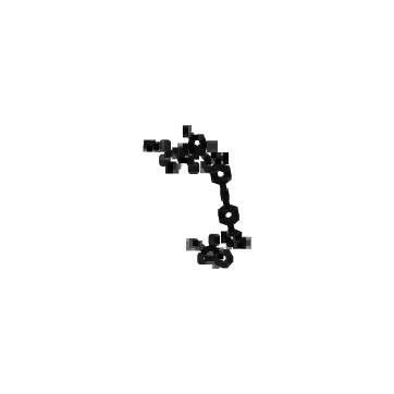 COC(=O)N[C@H](C(=O)N1[C@H](c2nc3cc(C#Cc4ccc(-c5c[nH]c([C@@H]6CCCN6C(=O)[C@@H](C)C(C)C)n5)cc4)ccc3[nH]2)[C@H]2C[C@H](F)[C@@H]1C2)C(C)C